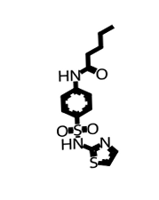 CCCCC(=O)Nc1ccc(S(=O)(=O)Nc2nccs2)cc1